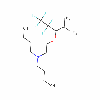 CCCCN(CCCC)CCOC(C(C)C)C(F)(F)C(F)(F)F